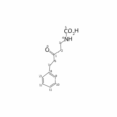 O=C(CCNC(=O)O)CCc1ccccc1